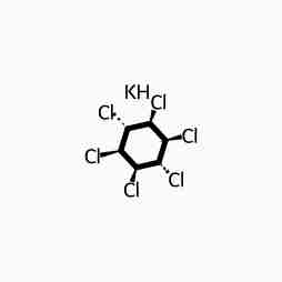 Cl[C@H]1[C@H](Cl)[C@@H](Cl)[C@@H](Cl)[C@H](Cl)[C@H]1Cl.[KH]